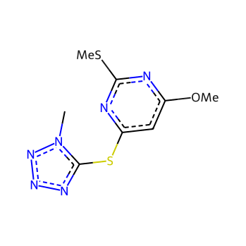 COc1cc(Sc2nnnn2C)nc(SC)n1